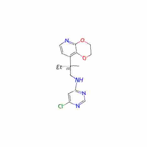 CC[C@](C)(CNc1cc(Cl)ncn1)c1ccnc2c1OCCO2